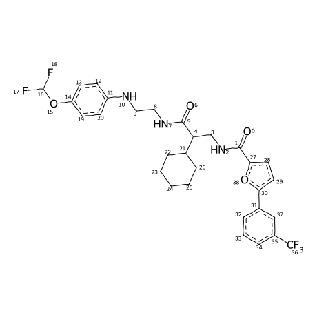 O=C(NCC(C(=O)NCCNc1ccc(OC(F)F)cc1)C1CCCCC1)c1ccc(-c2cccc(C(F)(F)F)c2)o1